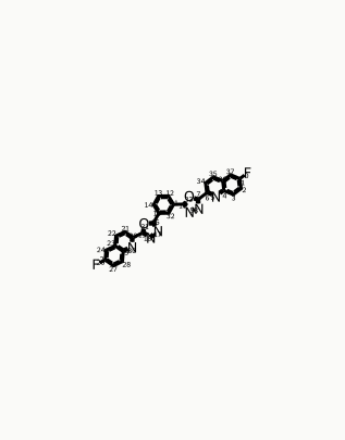 Fc1ccc2nc(-c3nnc(-c4cccc(-c5nnc(-c6ccc7cc(F)ccc7n6)o5)c4)o3)ccc2c1